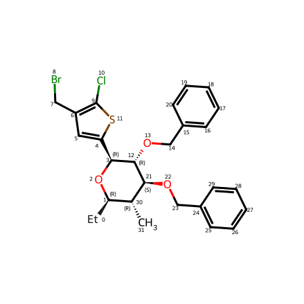 CC[C@H]1O[C@@H](c2cc(CBr)c(Cl)s2)[C@H](OCc2ccccc2)[C@@H](OCc2ccccc2)[C@@H]1C